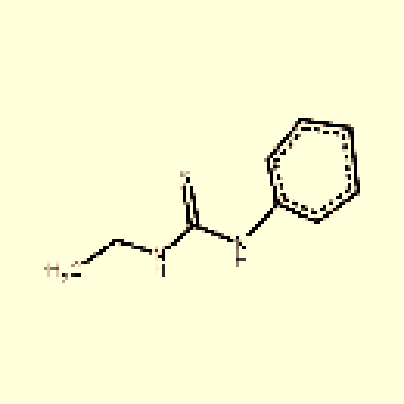 [CH2]CNC(=S)Nc1ccccc1